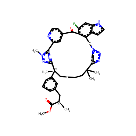 COC(=O)[C@H](C)Cc1cccc([C@@]2(C)CCCCC(C)(C)c3cn(nn3)Cc3c(c(F)cc4[nH]ccc34)C(=O)c3ccnc(c3)-c3nc2nn3C)c1